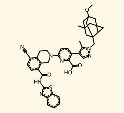 COC12CC3(C)CC4(CC4C(Cn4ncc(-c5ccc(N6CCc7c(C#N)ccc(C(=O)Nc8nc9ccccc9s8)c7C6)nc5C(=O)O)c4C)(C3)C1)C2